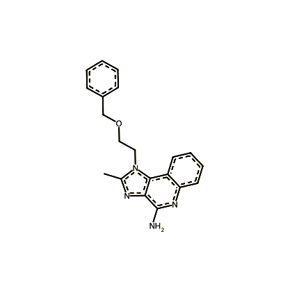 Cc1nc2c(N)nc3ccccc3c2n1CCOCc1ccccc1